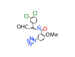 COc1ccc(-n2cnnn2)cc1C(=O)N(C)C[C@@H](CC=O)c1ccc(Cl)c(Cl)c1